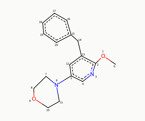 COc1ncc(N2CCOCC2)cc1Cc1ccccc1